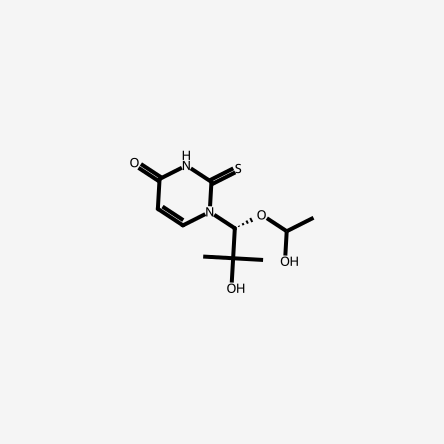 CC(O)O[C@@H](n1ccc(=O)[nH]c1=S)C(C)(C)O